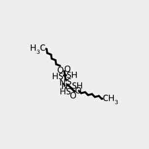 CCCCCCCCOC(=O)C(S)(S)c1nnc(C(S)(S)C(=O)OCCCCCCCC)s1